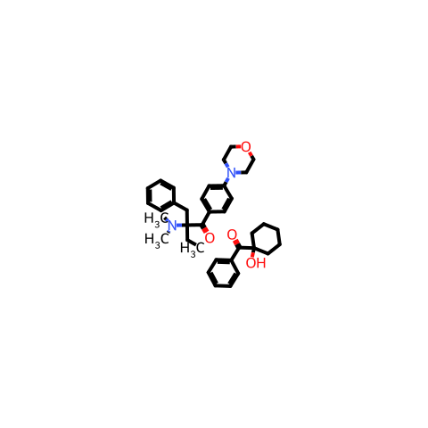 CCC(Cc1ccccc1)(C(=O)c1ccc(N2CCOCC2)cc1)N(C)C.O=C(c1ccccc1)C1(O)CCCCC1